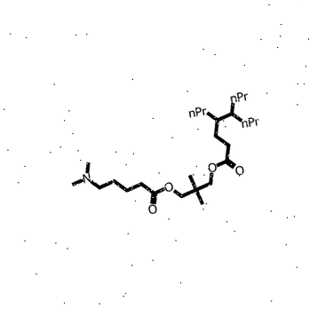 [CH2]C([CH2])(COC(=O)CCCCN(C)C)COC(=O)CCC(CCC)C(CCC)CCC